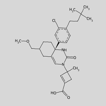 COCC1CC[C@]2(c3ccc(CCC(C)(C)C)c(Cl)c3)NC(=O)N(C3(C)C=C(C(=O)O)C3)C=C2C1